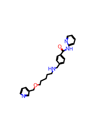 O=C(Nc1ccccn1)c1ccc(CNCCCCCOCc2cccnc2)cc1